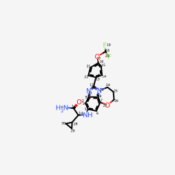 NC(=O)C(Nc1cc2c3c(c1)nc(-c1ccc(OC(F)F)cc1)n3CCCO2)C1CC1